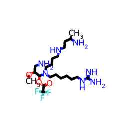 COC(CN)C(OC(=O)C(F)(F)F)N(CCCCCCNC(=N)N)CCCCNCCC(C)N